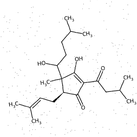 CC(C)=CC[C@@H]1C(=O)C(C(=O)CC(C)C)=C(O)C1(C)C(O)CCC(C)C